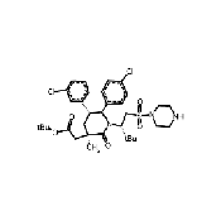 CC(C)(C)OC(=O)C[C@@]1(C)C[C@H](c2cccc(Cl)c2)[C@@H](c2ccc(Cl)cc2)N([C@H](CS(=O)(=O)N2CCNCC2)C(C)(C)C)C1=O